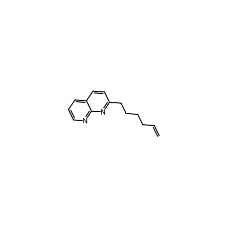 C=CCCCCc1ccc2cccnc2n1